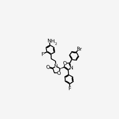 Nc1ccc(CCN2C(=O)CO[C@@H]2c2oc(-c3ccc(Br)cc3)nc2-c2ccc(F)cc2)c(F)c1